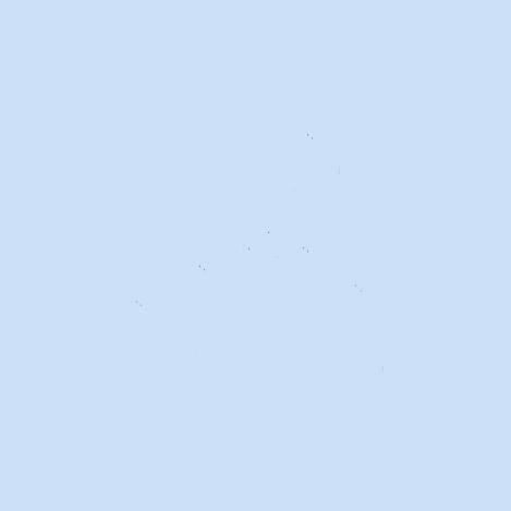 CCOc1ccc(CC)cc1C1(N2CCN(c3ccnc(C(C)C)c3)CC2)C(=O)N(S(=O)(=O)c2ccc(OC)cn2)c2ccc(C#N)cc21